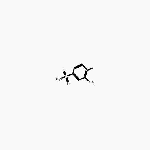 Cc1cc(S(N)(=O)=O)ccc1I